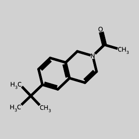 CC(=O)N1C=Cc2cc(C(C)(C)C)ccc2C1